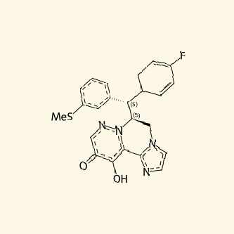 CSc1cccc([C@H](C2C=CC(F)=CC2)[C@H]2Cn3ccnc3-c3c(O)c(=O)cnn32)c1